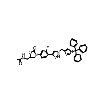 CC(=O)NCC1CN(c2ccc(-c3cn(Cc4cn(C(c5ccccc5)(c5ccccc5)c5ccccc5)cn4)nn3)c(F)c2)C(=O)O1